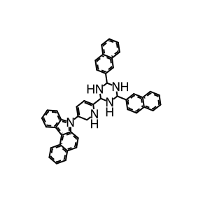 C1=C(C2NC(c3ccc4ccccc4c3)NC(c3ccc4ccccc4c3)N2)NCC(n2c3ccccc3c3c4ccccc4ccc32)=C1